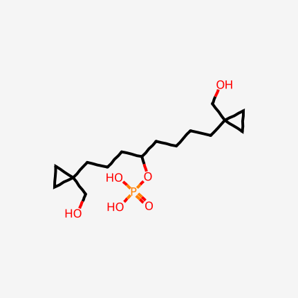 O=P(O)(O)OC(CCCCC1(CO)CC1)CCCC1(CO)CC1